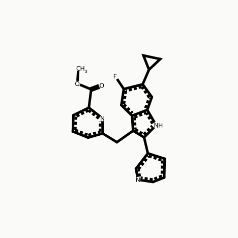 COC(=O)c1cccc(Cc2c(-c3cccnc3)[nH]c3cc(C4CC4)c(F)cc23)n1